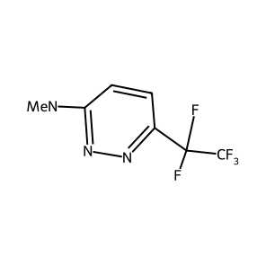 CNc1ccc(C(F)(F)C(F)(F)F)nn1